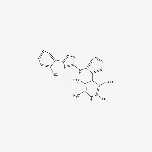 CCOC(=O)C1=C(C)NC(C)=C(C(=O)OCC)C1c1ccccc1Nc1nc(-c2ccccc2[N+](=O)[O-])cs1